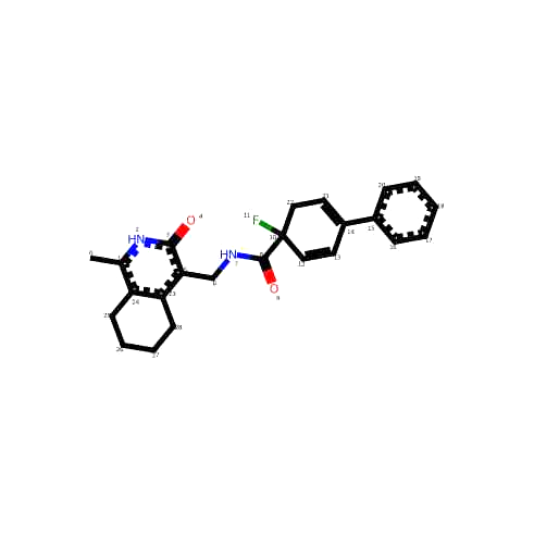 Cc1[nH]c(=O)c(CNC(=O)C2(F)C=CC(c3ccccc3)=CC2)c2c1CCCC2